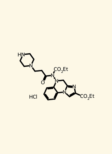 CCOC(=O)c1cn2c(n1)CN(N(C(=O)CCN1CCNCC1)C(=O)OCC)c1ccccc1-2.Cl